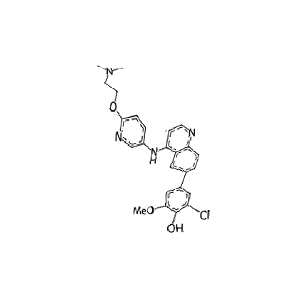 COc1cc(-c2ccc3nc[c]c(Nc4ccc(OCCN(C)C)nc4)c3c2)cc(Cl)c1O